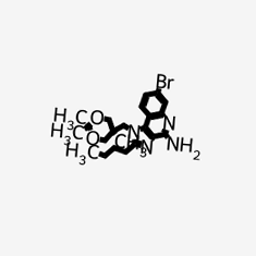 CCCCc1nc2c(N)nc3cc(Br)ccc3c2n1CC1(C)COC(C)(C)OC1